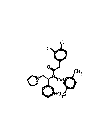 Cc1ccc(S(=O)(=O)O)cc1.O=C(Cc1ccc(Cl)c(Cl)c1)N(O)[C@H](CN1CCCC1)c1ccccc1